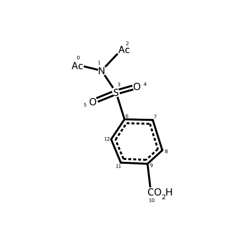 CC(=O)N(C(C)=O)S(=O)(=O)c1ccc(C(=O)O)cc1